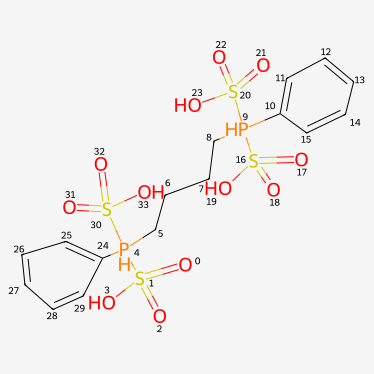 O=S(=O)(O)[PH](CCCC[PH](c1ccccc1)(S(=O)(=O)O)S(=O)(=O)O)(c1ccccc1)S(=O)(=O)O